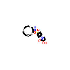 O=C1C(O)CCN1c1ccc(S(=O)(=O)NC2CCCCCCCCCCCCC2)cc1